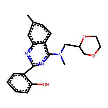 Cc1ccc2c(N(C)CC3COCCO3)nc(-c3ccccc3O)nc2c1